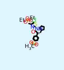 CCOP(=O)(Cc1nc(NC(=O)[C@H](CC2CCCC2)c2ccc(S(C)(=O)=O)cc2)sc1Cl)OCC